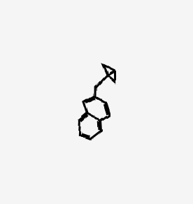 c1ccc2cc(CC34CC3C4)ccc2c1